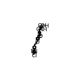 O=C(NC(CO)CO)C1CN(C(=O)Cc2ccc(OCCCC3CCN(c4ncc(Cl)cn4)CC3)cc2F)C1